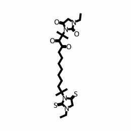 CCN1CC(=O)N(C(C)(C)C(=O)C(=O)CCCCCCCC(C)(C)N2C(=S)CN(CC)C2=S)C1=O